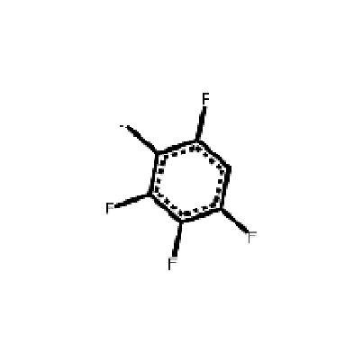 [CH2]c1c(F)cc(F)c(F)c1F